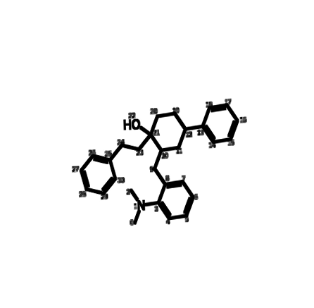 CN(C)c1ccccc1CC1CC(c2ccccc2)CCC1(O)CCc1ccccc1